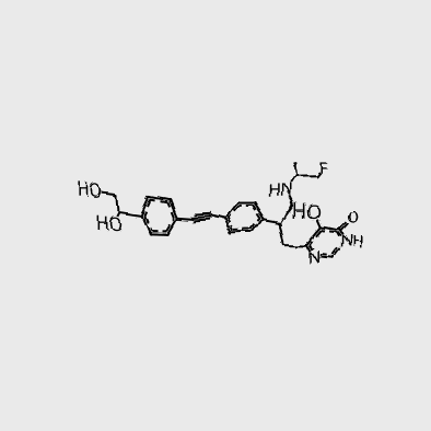 C[C@@H](CF)NC[C@@H](Cc1nc[nH]c(=O)c1O)c1ccc(C#Cc2ccc(C(O)CO)cc2)cc1